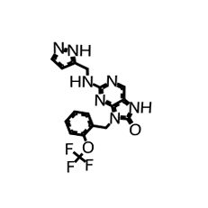 O=c1[nH]c2cnc(NCc3ccn[nH]3)nc2n1Cc1ccccc1OC(F)(F)F